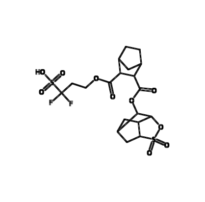 O=C(OCCC(F)(F)S(=O)(=O)O)C1C2CCC(C2)C1C(=O)OC1C2CC3C1OS(=O)(=O)C3C2